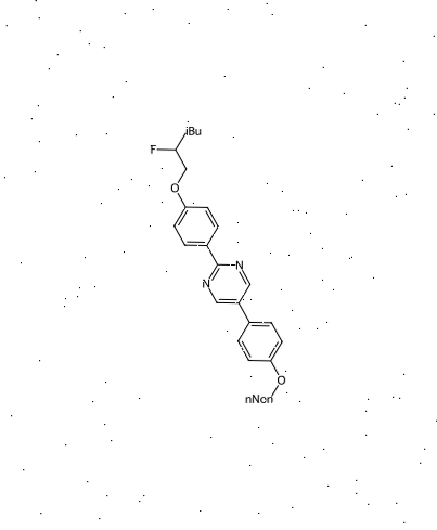 CCCCCCCCCOc1ccc(-c2cnc(-c3ccc(OCC(F)C(C)CC)cc3)nc2)cc1